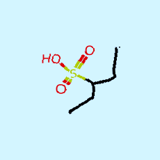 [CH2]CC(CC)S(=O)(=O)O